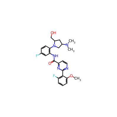 COc1cccc(F)c1-c1nccc(C(=O)Nc2cc(F)ccc2N2CC(N(C)C)CC2CO)n1